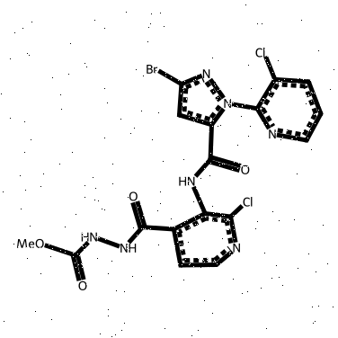 COC(=O)NNC(=O)c1ccnc(Cl)c1NC(=O)c1cc(Br)nn1-c1ncccc1Cl